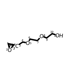 C1CO1.CCOCCOCCO